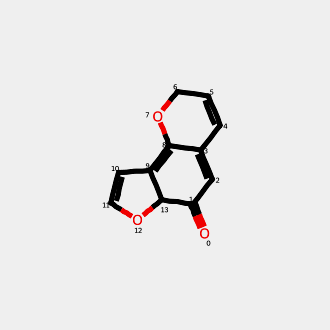 O=C1C=C2C=CCOC2=C2C=COC12